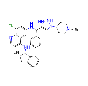 CC(C)(C)N1CCC(N2C=C([C@@H](Nc3cc(Cl)c4ncc(C#N)c(N[C@@H]5CCc6ccccc65)c4c3)c3ccccc3)NN2)CC1